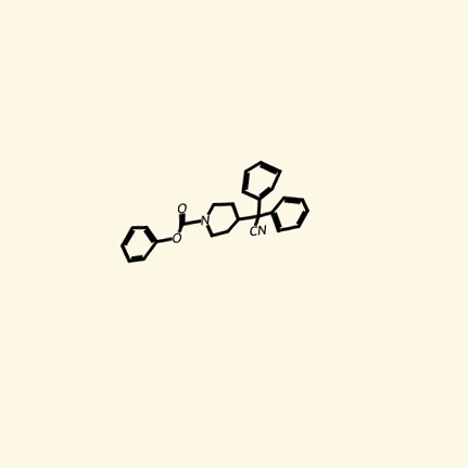 N#CC(c1ccccc1)(c1ccccc1)C1CCN(C(=O)Oc2ccccc2)CC1